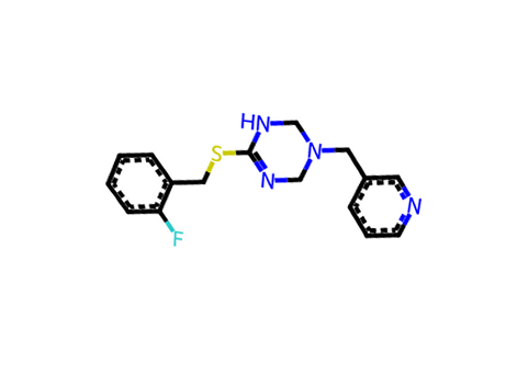 Fc1ccccc1CSC1=NCN(Cc2cccnc2)CN1